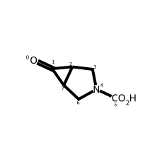 O=C1C2CN(C(=O)O)CC12